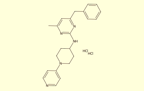 Cc1cc(Cc2ccccc2)nc(NC2CCN(c3ccncc3)CC2)n1.Cl.Cl